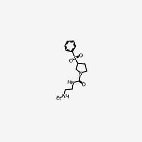 CCNCCNC(=O)N1CCC(S(=O)(=O)c2ccccc2)C1